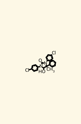 C[C@]1(c2ccccc2)C(O)N(c2ccc(Cl)cc2)C(=O)N1c1ccc(Cl)cc1